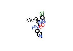 COC1CC(C(=O)Nc2ccc3c(c2)CCN(C)CC3)N(C(=O)N(C)c2ccc(Cl)cc2)C1